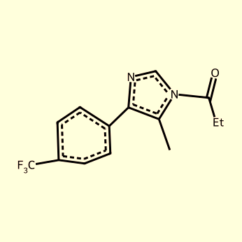 [CH2]CC(=O)n1cnc(-c2ccc(C(F)(F)F)cc2)c1C